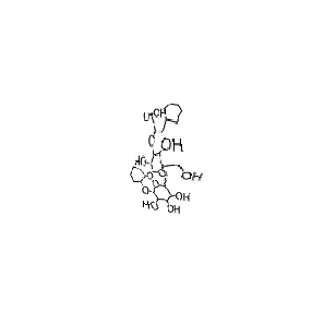 CC1OC(OC2CCCCC2OC2OC(CO)C(O)C(O[C@@H](CC3CCCCC3)C(=O)O)C2O)C(O)C(O)C1O